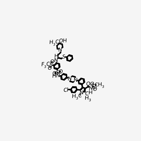 Cc1c(C(=O)NS(C)(=O)=O)c(-c2cccc(N3CCN(c4ccc(NS(=O)(=O)c5ccc(N[C@@H](CCN6CCC(C)(O)CC6)CSc6ccccc6)c(S(=O)(=O)C(F)(F)F)c5)cc4)CC3)c2)c(-c2ccc(Cl)cc2)n1C